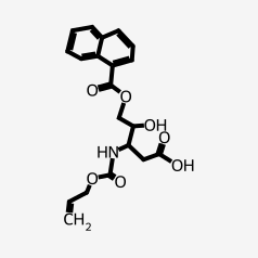 C=CCOC(=O)NC(CC(=O)O)C(O)COC(=O)c1cccc2ccccc12